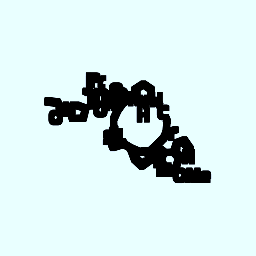 C=CC(=O)N1CC[C@H](C(=O)N(C)[C@H](C(=O)N[C@H]2Cc3nc(cs3)-c3ccc4c(c3)c(c(-c3cccnc3[C@H](C)OC)n4CC)CC(C)(C)CCC[C@@H]3CCCN(N3)C2=O)C(C)C)C1